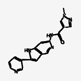 Cn1cc(C(=O)Nc2cc3[nH]c(-c4cccnc4)cc3cn2)cn1